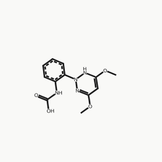 COC1=CC(OC)=NN(c2ccccc2NC(=O)O)N1